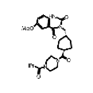 COc1ccc2[nH]c(=O)n(C[C@H]3CC[C@H](C(=O)N4CCN(C(=O)C(C)C)CC4)CC3)c(=O)c2c1